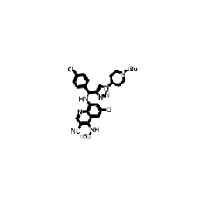 CCCCNc1c(C#N)cnc2c(N[C@@H](c3ccc(Cl)cc3)c3cn(C4CCN(C(C)(C)C)CC4)nn3)cc(Cl)cc12